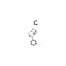 N#Cc1cccc(C2C3CC4CC2(O)CC(C3)C4Nc2cc[nH]c2)c1